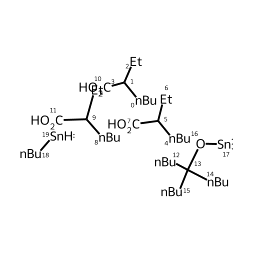 CCCCC(CC)C(=O)O.CCCCC(CC)C(=O)O.CCCCC(CC)C(=O)O.CCCCC(CCCC)(CCCC)[O][Sn].CCC[CH2][SnH]